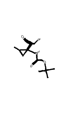 CC1CC1(NC(=O)OC(C)(C)C)C(=O)O